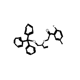 C=CC(COC(c1ccccc1)(c1ccccc1)c1ccccc1)OCC(=O)c1cc(C)ccc1F